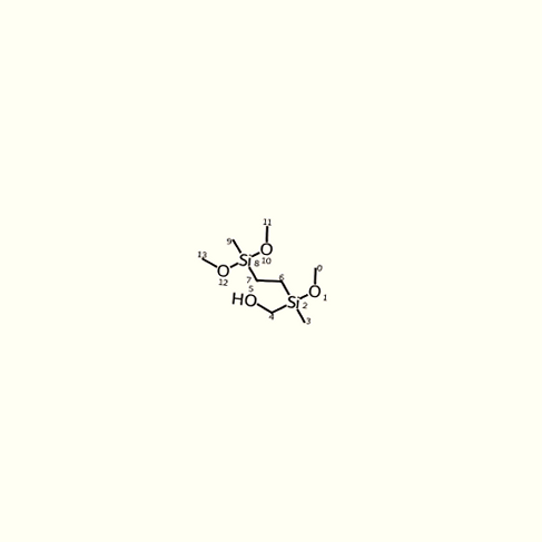 CO[Si](C)(CO)CC[Si](C)(OC)OC